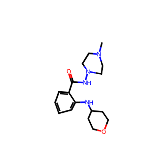 CN1CCN(NC(=O)c2ccccc2NC2CCOCC2)CC1